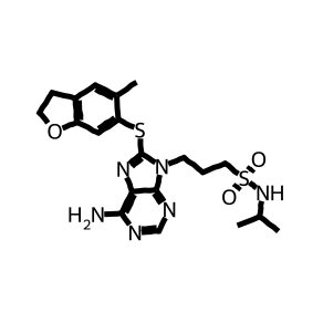 Cc1cc2c(cc1Sc1nc3c(N)ncnc3n1CCCS(=O)(=O)NC(C)C)OCC2